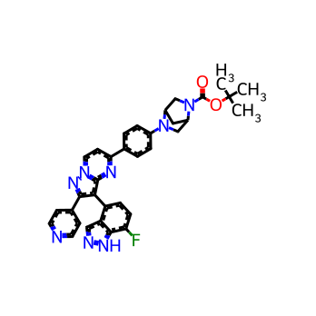 CC(C)(C)OC(=O)N1CC2CC1CN2c1ccc(-c2ccn3nc(-c4ccncc4)c(-c4ccc(F)c5[nH]ncc45)c3n2)cc1